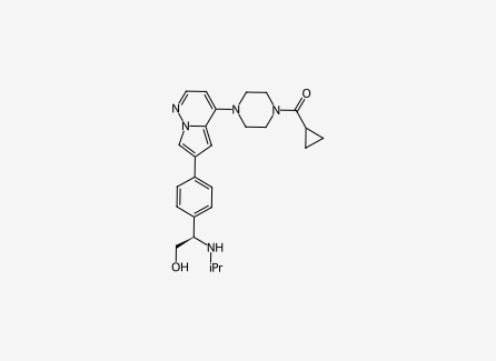 CC(C)N[C@@H](CO)c1ccc(-c2cc3c(N4CCN(C(=O)C5CC5)CC4)ccnn3c2)cc1